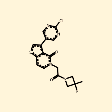 CC1(F)CN(C(=O)Cn2ccc3scc(-c4cnc(Cl)nc4)c3c2=O)C1